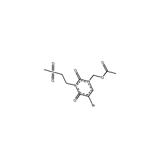 CC(=O)OCn1cc(Br)c(=O)n(CCS(C)(=O)=O)c1=O